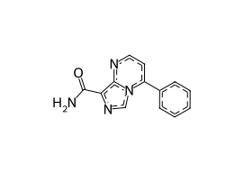 NC(=O)c1ncn2c(-c3ccccc3)ccnc12